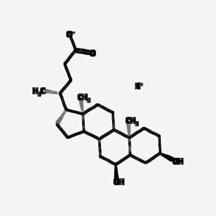 C[C@H](CCC(=O)[O-])[C@H]1CCC2C3C[C@H](O)C4C[C@H](O)CC[C@]4(C)C3CC[C@@]21C.[K+]